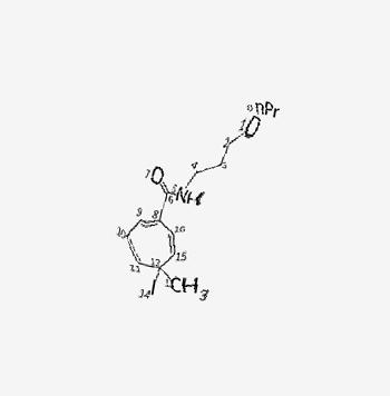 CCCOCCCNC(=O)C1=CC=CC(C)(I)C=C1